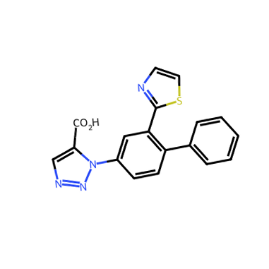 O=C(O)c1cnnn1-c1ccc(-c2ccccc2)c(-c2nccs2)c1